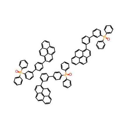 O=P(c1ccccc1)(c1ccccc1)c1ccc(-c2cccc(-c3ccc4ccc5cccc6ccc3c4c56)c2)cc1.O=P(c1ccccc1)(c1ccccc1)c1cccc(-c2ccc(-c3ccc4ccc5cccc6ccc3c4c56)cc2)c1.O=P(c1ccccc1)(c1ccccc1)c1cccc(-c2cccc(-c3ccc4ccc5cccc6ccc3c4c56)c2)c1